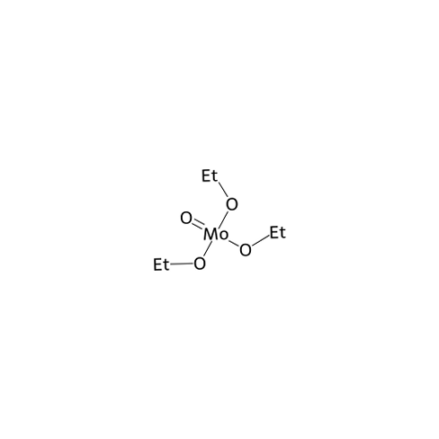 CC[O][Mo](=[O])([O]CC)[O]CC